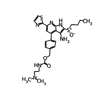 CCCC[S+]([O-])c1[nH]c2nc(-c3nccs3)cc(-c3ccc(COC(=O)NCCN(C)C)cc3)c2c1N